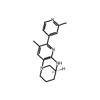 Cc1cc(-c2nc3c(cc2C)N2CCC[C@@H](C2)N3)ccn1